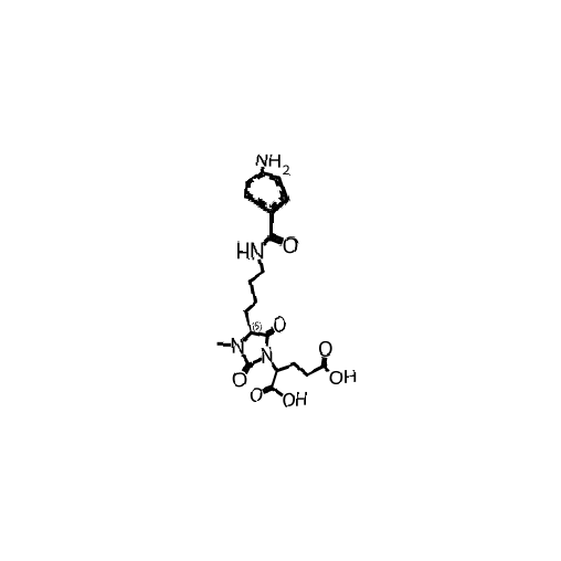 CN1C(=O)N(C(CCC(=O)O)C(=O)O)C(=O)[C@@H]1CCCCNC(=O)c1ccc(N)cc1